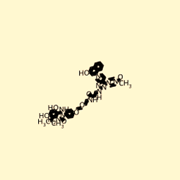 CC(=O)N1CCN(c2nc(NCCC(=O)NCCOCCOc3ccc(N(C(=N)c4cc(C(C)C)c(O)cc4O)C(N)=O)cc3)nc3c2CCN(c2cc(O)cc4ccccc24)C3)CC1